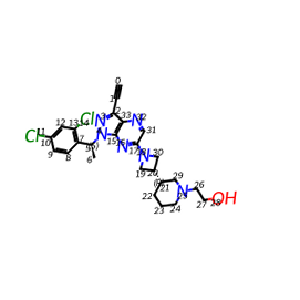 C#Cc1nn([C@@H](C)c2ccc(Cl)cc2Cl)c2nc(N3CC([C@H]4CCCN(CCO)C4)C3)cnc12